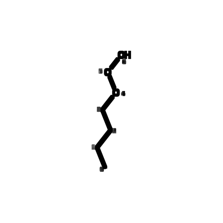 CCCCOOO